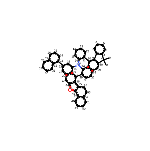 CC1(C)c2ccccc2-c2c(-c3ccccc3N(c3cccc(-c4cccc5ccccc45)c3)c3ccccc3-c3cccc4oc5c6ccccc6ccc5c34)cccc21